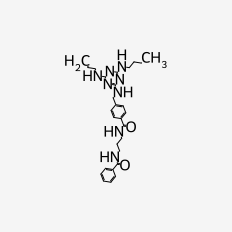 C=CCNc1nc(NCCCC)nc(NCc2ccc(C(=O)NCCCNC(=O)c3ccccc3)cc2)n1